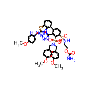 COc1ccc(CN(Cc2ccc(OC)cc2)S(=O)(=O)c2c(S(=O)(=O)NCCOC(N)=O)ccc(-c3cccc4sc(N)nc34)c2-c2nnn(Cc3ccc(OC)cc3)n2)cc1